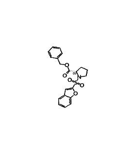 O=C(OCc1ccccc1)[C@@H]1CCCN1S(=O)(=O)c1cc2ccccc2o1